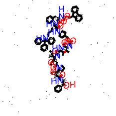 CC[C@H](C)[C@@H]([C@@H](CC(=O)N1CCC[C@H]1[C@H](OC)[C@@H](C)C(=O)N[C@H](C)[C@@H](O)c1ccccc1)OC)N(C)C(=O)[C@@H](NC(=O)[C@H](C(C)C)N(C)C(=O)OCc1ccc(NC(=O)[C@H](CCCCNC(c2ccccc2)(c2ccccc2)c2ccccc2)NC(=O)[C@H](Cc2ccccc2)NC(=O)OCC2c3ccccc3-c3ccccc32)cc1)C(C)C